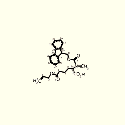 C=CCOC(=O)CCC[C@H](C(=O)O)N(C)C(=O)OCC1c2ccccc2-c2ccccc21